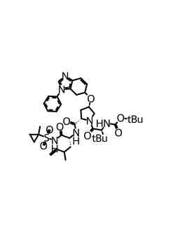 C=CC(C)C[C@@H](NC(=O)[C@@H]1C[C@@H](OC2C=Cc3ncn(-c4ccccc4)c3C2)CN1C(=O)[C@@H](NC(=O)OC(C)(C)C)C(C)(C)C)C(=O)NS(=O)(=O)C1(C)CC1